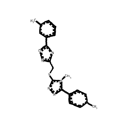 Cc1ccc(-c2nnc(SCc3noc(-c4cccc(C)c4)n3)n2C)cc1